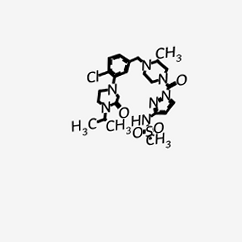 CC(C)N1CCN(c2cc(CN3CCN(C(=O)n4ccc(NS(C)(=O)=O)n4)C[C@@H]3C)ccc2Cl)CC1=O